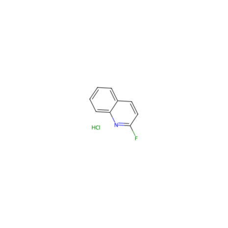 Cl.Fc1ccc2ccccc2n1